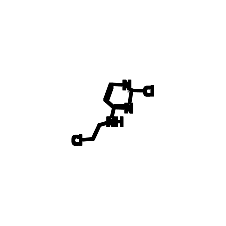 ClCCNc1ccnc(Cl)n1